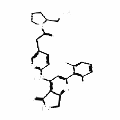 O=C1NCc2nc(-c3c(F)cccc3Cl)cc(Nc3ccc(CC(=O)N4CCCC4CO)cn3)c21